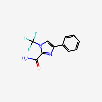 NC(=O)c1nc(-c2ccccc2)cn1C(F)(F)F